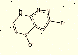 CC(C)c1cc2c(nn1)NC=N[S+]2[O-]